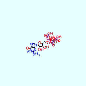 Nc1nc2c(ncn2[C@@H]2O[C@H](COP(=O)(OP(=O)(O)O)OP(=O)(O)OP(=O)(O)O)[C@@H](O)[C@H]2O)c(=O)[nH]1